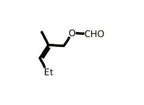 CCC=C(C)COC=O